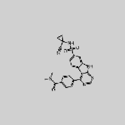 CN(C)C(=O)c1ccc(-c2ncnc3[nH]c4cc(S(=O)(=O)NC5(C#N)CC5)ccc4c23)cc1